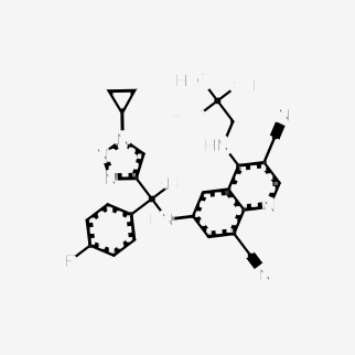 [2H]C(Nc1cc(C#N)c2ncc(C#N)c(NCC(C)(C)C)c2c1)(c1ccc(F)cc1)c1cn(C2CC2)nn1